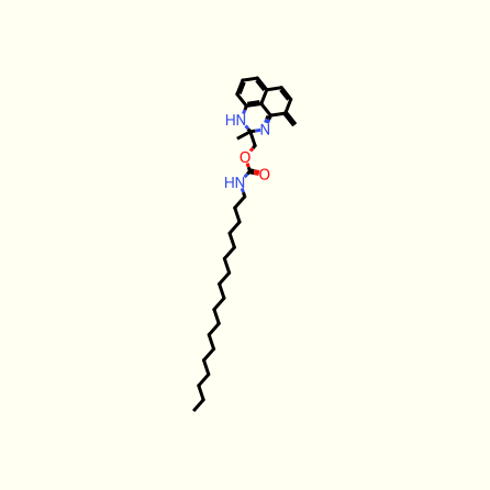 C=c1ccc2cccc3c2c1=NC(C)(COC(=O)NCCCCCCCCCCCCCCCCCC)N3